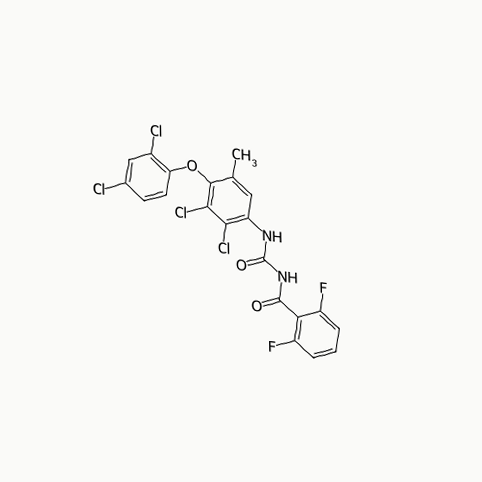 Cc1cc(NC(=O)NC(=O)c2c(F)cccc2F)c(Cl)c(Cl)c1Oc1ccc(Cl)cc1Cl